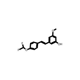 COc1cc(O)cc(/C=C/c2ccc(OC(F)F)cc2)c1